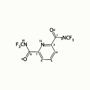 O=C(NC(F)(F)F)c1cccc(C(=O)NC(F)(F)F)n1